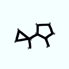 CC1CCC[C]1C1(C)CC1